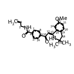 C=CCNC(=O)c1ccc(C(=O)C=C2NC(C)(C)Cc3ccc(OC)cc32)cc1